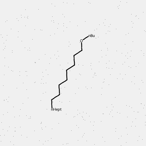 [CH2]CCCCCCCCCCCCCCOCCCC